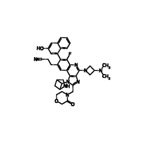 CN(C)C1CN(c2nc3c(F)c(-c4cc(O)cc5ccccc45)c(CCC#N)cc3c3c2nc(CN2CCOCC2=O)n3C2C3CNC2C3)C1